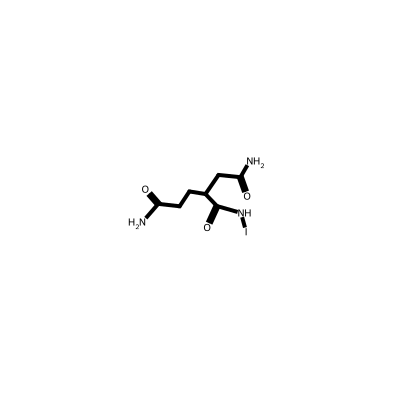 NC(=O)CCC(CC(N)=O)C(=O)NI